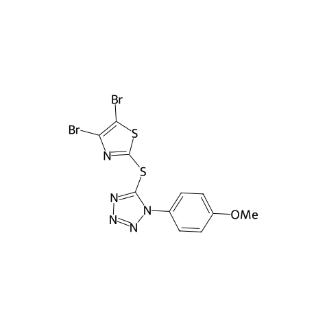 COc1ccc(-n2nnnc2Sc2nc(Br)c(Br)s2)cc1